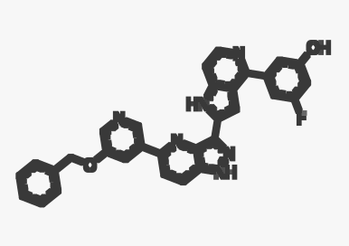 Oc1cc(F)cc(-c2nccc3[nH]c(-c4n[nH]c5ccc(-c6cncc(OCc7ccccc7)c6)nc45)cc23)c1